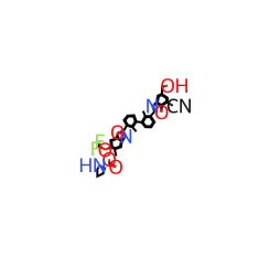 Cc1c(-c2nc3cc(COC(=O)[C@@H]4CCCN4)c(OC(F)F)cc3o2)cccc1-c1cccc(-c2nc3cc(CO)cc(C#N)c3o2)c1C